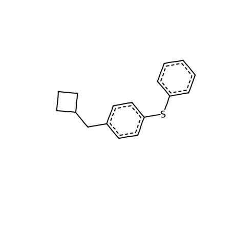 c1ccc(Sc2ccc(CC3CCC3)cc2)cc1